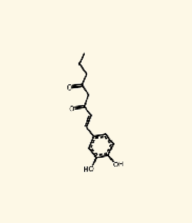 CCCC(=O)CC(=O)C=Cc1ccc(O)c(O)c1